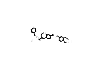 CCCN(OCc1ccc(N)cc1)C(=O)C1=Cc2ccc(C(=O)NCc3ccc4c(c3)CCNC4)cc2N=C(N)C1